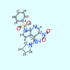 O=[N+]([O-])c1cnc2c(ccn2S(=O)(=O)c2ccccc2)c1NN1CCCC1